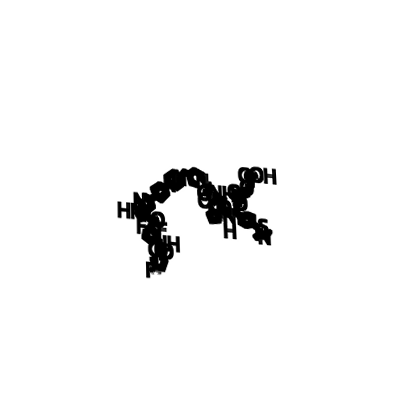 Cc1ncsc1-c1ccc([C@H](COC(=O)COCC(=O)O)NC(=O)[C@@H]2CCCN2C(=O)C(NC(=O)CN2CCC(CN3CCN(c4ccc(-c5cnc6[nH]cc(C(=O)c7c(F)ccc(NS(=O)(=O)N8CC[C@@H](F)C8)c7F)c6c5)cc4)CC3)CC2)C(C)(C)C)cc1